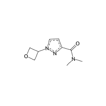 CN(C)C(=O)c1ccn(C2COC2)n1